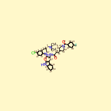 CN(C)C[C@H]1Cc2cc(Cl)ccc2N(C(=O)[C@@H](Cc2c[nH]c3ccccc23)NC(=O)CCC2CCN(C(=O)c3ccc(F)cc3)CC2)C1